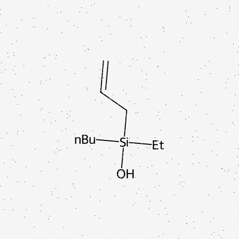 C=CC[Si](O)(CC)CCCC